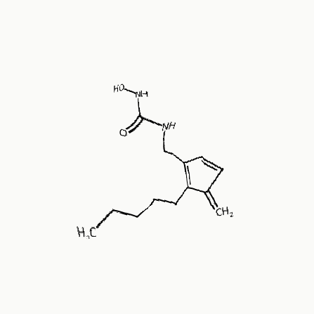 C=C1C=CC(CNC(=O)NO)=C1CCCCC